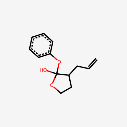 C=CCC1CCOC1(O)Oc1ccccc1